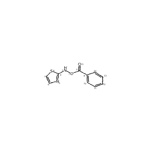 O=C(ONc1nccs1)c1ccccc1